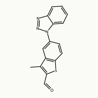 Cc1c(C=O)sc2ccc(-n3nnc4ccccc43)cc12